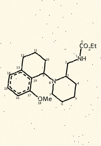 CCOC(=O)NCC1CCCCN1C1CCCc2cccc(OC)c21